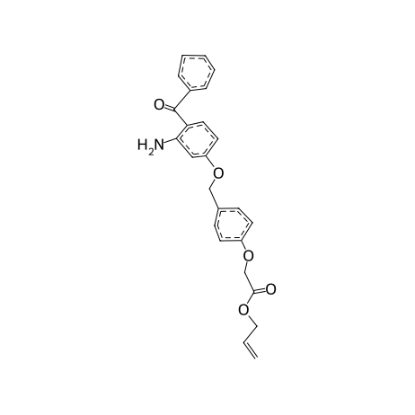 C=CCOC(=O)COc1ccc(COc2ccc(C(=O)c3ccccc3)c(N)c2)cc1